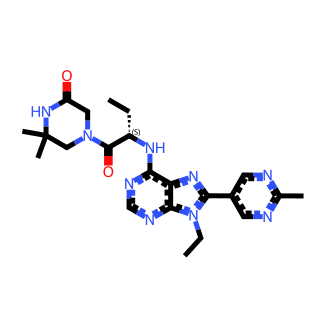 CC[C@H](Nc1ncnc2c1nc(-c1cnc(C)nc1)n2CC)C(=O)N1CC(=O)NC(C)(C)C1